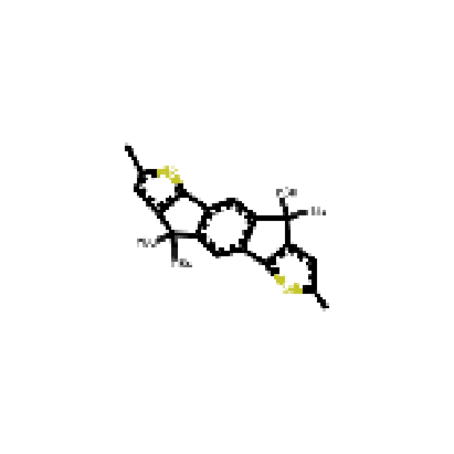 CCCCC1(CCCC)c2cc3c(cc2-c2sc(C)cc21)C(CCCC)(CCCC)c1cc(C)sc1-3